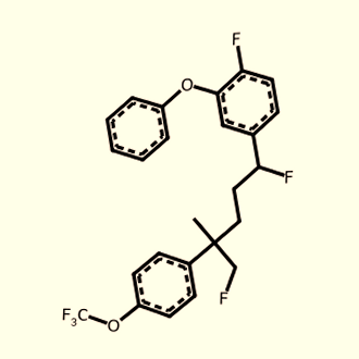 CC(CF)(CCC(F)c1ccc(F)c(Oc2ccccc2)c1)c1ccc(OC(F)(F)F)cc1